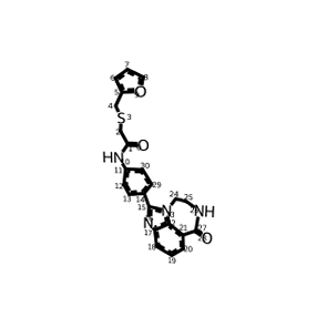 O=C(CSCc1ccco1)Nc1ccc(-c2nc3cccc4c3n2CCNC4=O)cc1